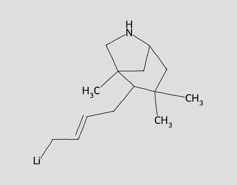 [Li][CH2]C=CCC1C(C)(C)CC2CC1(C)CN2